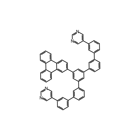 c1cc(-c2cncnc2)cc(-c2cccc(-c3cc(-c4cccc(-c5cccc(-c6cncnc6)c5)c4)cc(-c4ccc5c6ccccc6c6ccccc6c5c4)c3)c2)c1